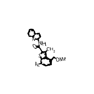 COCc1ccc(C(C)=O)c2sc(C(=O)Nc3ccc4ccccc4n3)c(C)c12